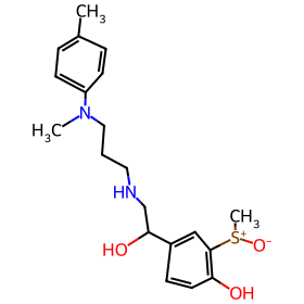 Cc1ccc(N(C)CCCNCC(O)c2ccc(O)c([S+](C)[O-])c2)cc1